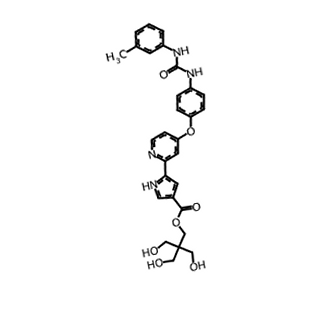 Cc1cccc(NC(=O)Nc2ccc(Oc3ccnc(-c4cc(C(=O)OCC(CO)(CO)CO)c[nH]4)c3)cc2)c1